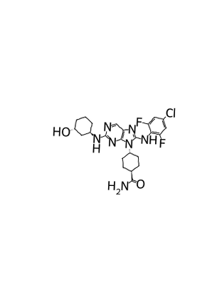 NC(=O)[C@H]1CC[C@H](n2c(Nc3c(F)cc(Cl)cc3F)nc3cnc(N[C@@H]4CCC[C@@H](O)C4)nc32)CC1